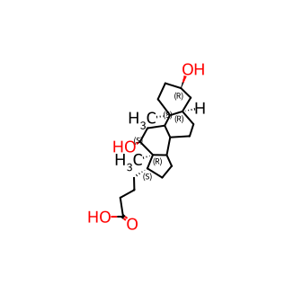 C[C@]12C(CC[C@@H]1CCCC(=O)O)C1CC[C@@H]3C[C@H](O)CC[C@]3(C)C1C[C@@H]2O